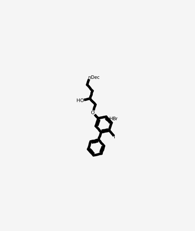 Br.CCCCCCCCCCCCC(O)COc1ccc(I)c(-c2ccccc2)c1